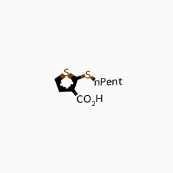 CCCCCSc1sccc1C(=O)O